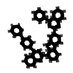 c1ccc(-c2ccc(-c3nc(-c4cccc5c4sc4cc(-c6nc(-c7ccccc7)c7ccccc7n6)ccc45)nc4ccccc34)cc2)cc1